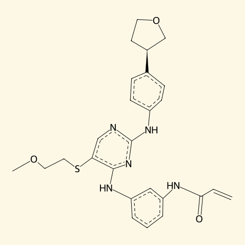 C=CC(=O)Nc1cccc(Nc2nc(Nc3ccc([C@H]4CCOC4)cc3)ncc2SCCOC)c1